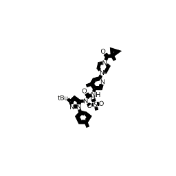 Cc1ccc(-n2nc(C(C)(C)C)cc2N(OS(C)(=O)=O)C(=O)Nc2cnc(N3CCN(C(=O)C4(C)CC4)CC3)cc2C)cc1